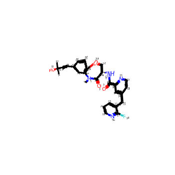 CN1C(=O)[C@@H](NC(=O)c2cc(Cc3cccnc3F)ccn2)COc2ccc(C#CC(C)(C)O)cc21